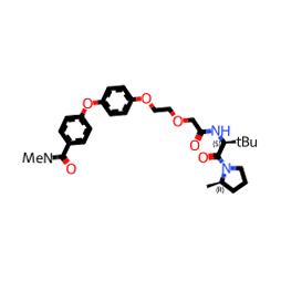 CNC(=O)c1ccc(Oc2ccc(OCCOCC(=O)N[C@H](C(=O)N3CCC[C@H]3C)C(C)(C)C)cc2)cc1